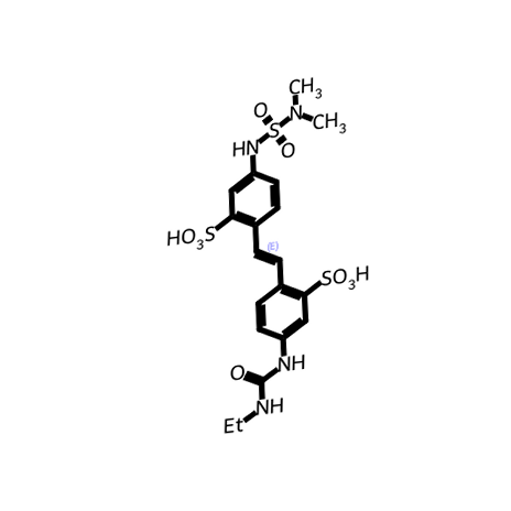 CCNC(=O)Nc1ccc(/C=C/c2ccc(NS(=O)(=O)N(C)C)cc2S(=O)(=O)O)c(S(=O)(=O)O)c1